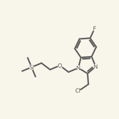 C[Si](C)(C)CCOCn1c(CCl)nc2cc(F)ccc21